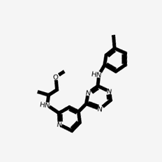 COCC(C)Nc1cc(-c2ncnc(Nc3cccc(C)c3)n2)ccn1